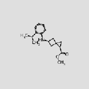 COC(=O)C1CC12CC(Nc1ccccc1C(C)C)C2